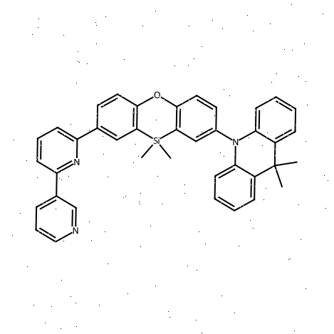 CC1(C)c2ccccc2N(c2ccc3c(c2)[Si](C)(C)c2cc(-c4cccc(-c5cccnc5)n4)ccc2O3)c2ccccc21